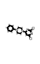 Clc1cc(N2CCN(c3ccccc3)CC2)nc(Cl)n1